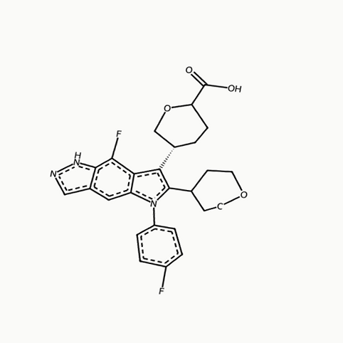 O=C(O)C1CC[C@H](c2c(C3CCOCC3)n(-c3ccc(F)cc3)c3cc4cn[nH]c4c(F)c23)CO1